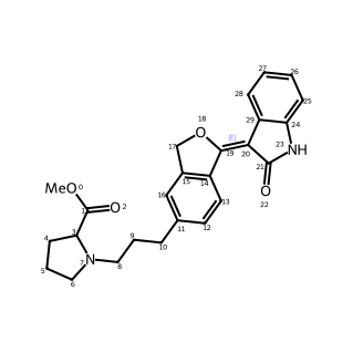 COC(=O)C1CCCN1CCCc1ccc2c(c1)CO/C2=C1/C(=O)Nc2ccccc21